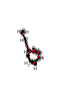 CC(C)[C@H]1NC(=O)[C@@H](CC(N)=O)NC(=O)CNC(=O)[C@@H](CC(N)=O)NC(=O)[C@@H](NC(=O)COCCOCCOCCNC(=O)CCCC[C@H]2SC[C@H]3NC(=O)N[C@H]32)Cc2cn(nn2)CCCC[C@@H](C(N)=O)NC(=O)[C@@H](Cc2c[nH]cn2)NC1=O